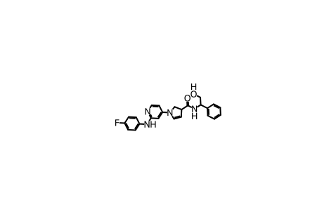 O=C(NC(CO)c1ccccc1)C1C=CN(c2ccnc(Nc3ccc(F)cc3)c2)C1